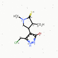 CN1CC(c2c(Br)n[nH]c2CCl)C(C(=O)O)C1=S